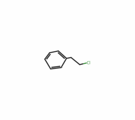 ClCCc1[c]cccc1